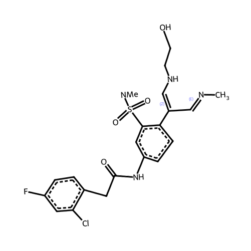 C/N=C/C(=C\NCCO)c1ccc(NC(=O)Cc2ccc(F)cc2Cl)cc1S(=O)(=O)NC